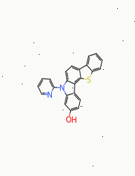 Oc1ccc2c3c4sc5ccccc5c4ccc3n(-c3ccccn3)c2c1